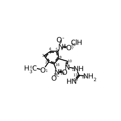 COc1ccc([N+](=O)[O-])c(C=NNC(=N)N)c1[N+](=O)[O-].Cl